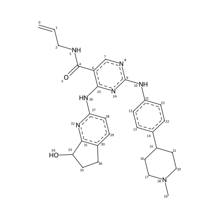 C=CCNC(=O)c1cnc(Nc2ccc(C3CCN(C)CC3)cc2)nc1Nc1ccc2c(n1)C(O)CC2